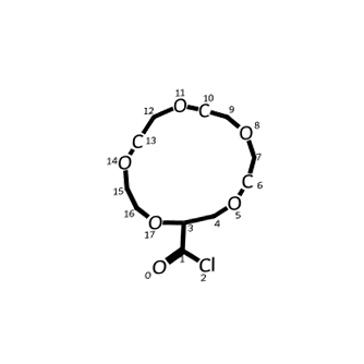 O=C(Cl)C1COCCOCCOCCOCCO1